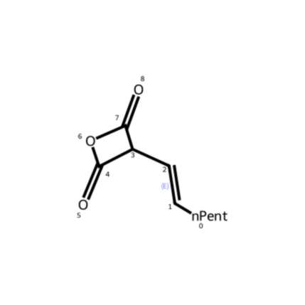 CCCCC/C=C/C1C(=O)OC1=O